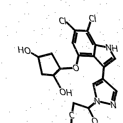 OC1CC(O)C(Oc2cc(Cl)c(Cl)c3[nH]cc(-c4cnn(C5CCCCO5)c4)c23)C1